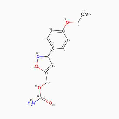 COCOc1ccc(-c2cc(COC(N)=O)on2)cc1